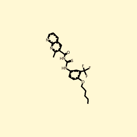 CCCCCOc1ccc(NC(=S)NC(=O)c2cc3cccnc3nc2C)cc1C(F)(F)F